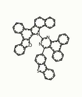 c1ccc2c(c1)ccc1c3c4ccccc4c4c5ccccc5oc4c3n(-c3nc(-c4ccc5sc6ccccc6c5c4)c4c5ccccc5c5ccccc5c4n3)c21